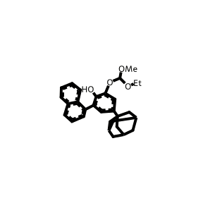 CCOC(OC)Oc1cc(C23CC4CC(CC(C4)C2)C3)cc(-c2cccc3ccccc23)c1O